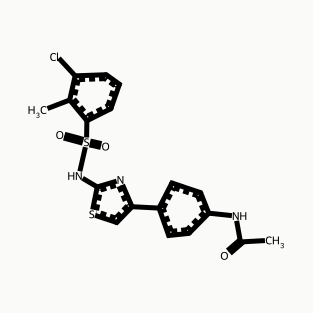 CC(=O)Nc1ccc(-c2csc(NS(=O)(=O)c3cccc(Cl)c3C)n2)cc1